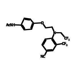 CC(=O)Nc1ccc(OCCN(CC(F)(F)F)c2ccc(C#N)cc2C(F)(F)F)cc1